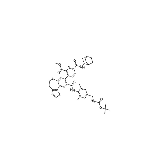 COC(=O)c1nc(C(=O)NC2CC3CCC2C3)ccc1-c1cc2c(cc1C(=O)Nc1c(C)cc(CNC(=O)OC(C)(C)C)cc1C)-c1sccc1CCO2